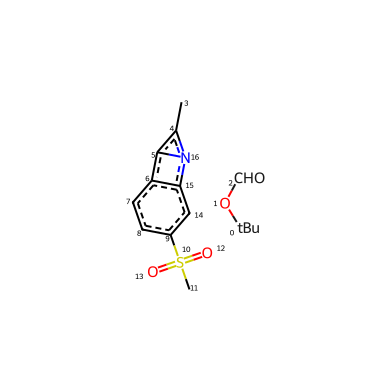 CC(C)(C)OC=O.Cc1c2c3ccc(S(C)(=O)=O)cc3n1-2